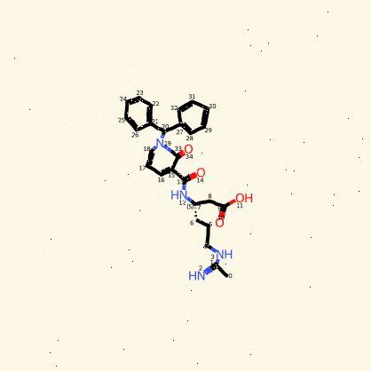 CC(=N)NCCC[C@@H](CC(=O)O)NC(=O)c1cccn(C(c2ccccc2)c2ccccc2)c1=O